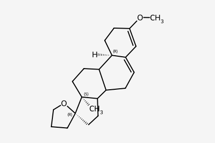 COC1=CC2=CCC3C(CC[C@@]4(C)C3CC[C@@]43CCCO3)[C@H]2CC1